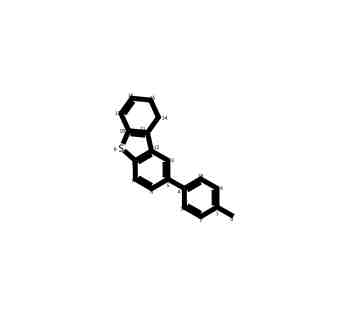 Cc1ccc(-c2ccc3sc4c(c3c2)CCC=C4)cc1